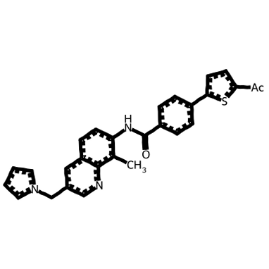 CC(=O)c1ccc(-c2ccc(C(=O)Nc3ccc4cc(Cn5cccc5)cnc4c3C)cc2)s1